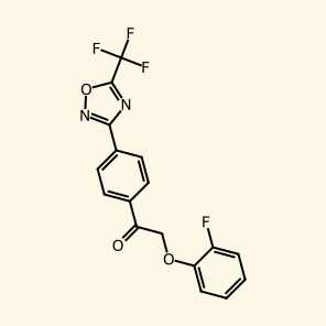 O=C(COc1ccccc1F)c1ccc(-c2noc(C(F)(F)F)n2)cc1